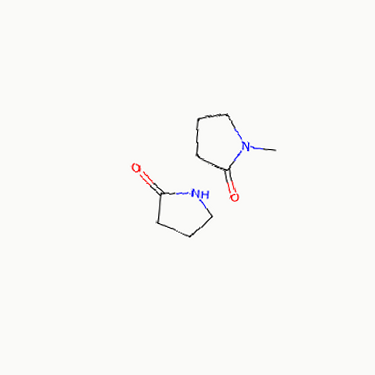 CN1CCCC1=O.O=C1CCCN1